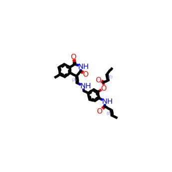 C/C=C/C(=O)Nc1ccc(CN/C=C2\C(=O)NC(=O)c3ccc(C)cc32)cc1OC(=O)/C=C/C